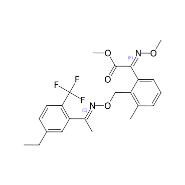 CCc1ccc(C(F)(F)F)c(/C(C)=N/OCc2c(C)cccc2/C(=N\OC)C(=O)OC)c1